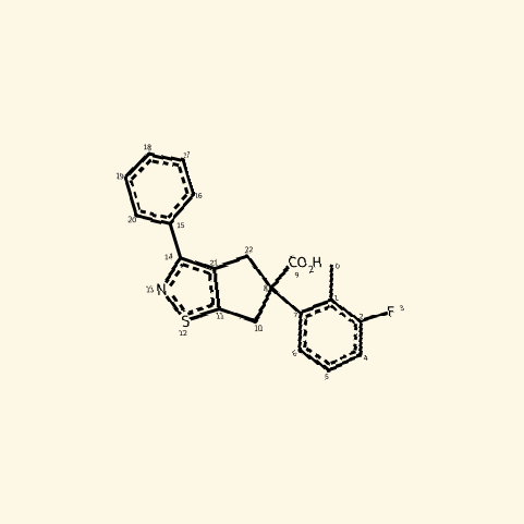 Cc1c(F)cccc1C1(C(=O)O)Cc2snc(-c3ccccc3)c2C1